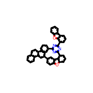 c1ccc(-c2nc(-c3cccc4c3oc3ccccc34)nc(-c3cccc4oc5ccc(-c6ccc7ccc8ccccc8c7c6)cc5c34)n2)cc1